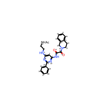 CC(=O)NCCNc1cc(NC(=O)C(=O)N2CCc3ccccc3C2)nc(-c2ccccc2)n1